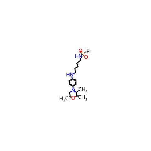 CC1[C@@H](C)O[C@@H](C)CN1c1ccc(NCCCCCNS(=O)(=O)C(C)C)cc1